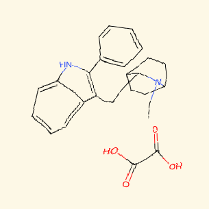 CN1C2CCC(CC2)C1Cc1c(-c2ccccc2)[nH]c2ccccc12.O=C(O)C(=O)O